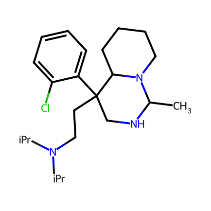 CC(C)N(CCC1(c2ccccc2Cl)CNC(C)N2CCCCC21)C(C)C